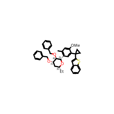 CC[C@@H]1C[C@H](OCc2ccccc2)[C@@H](OCc2ccccc2)[C@H](c2cc(C3(c4cc5ccccc5s4)CC3)c(OC)cc2C)O1